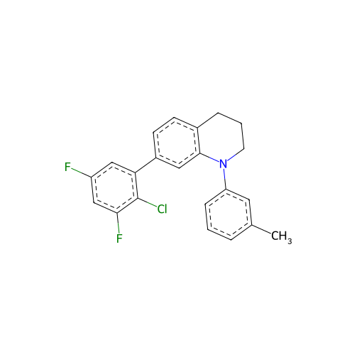 Cc1cccc(N2CCCc3ccc(-c4cc(F)cc(F)c4Cl)cc32)c1